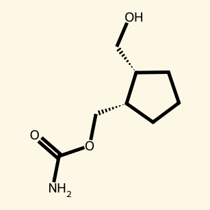 NC(=O)OC[C@H]1CCC[C@H]1CO